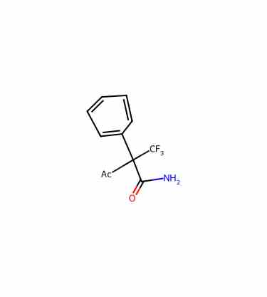 CC(=O)C(C(N)=O)(c1ccccc1)C(F)(F)F